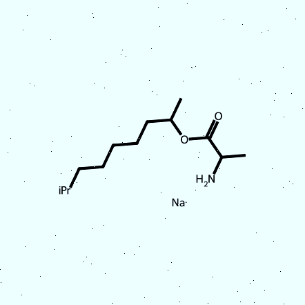 CC(C)CCCCCC(C)OC(=O)C(C)N.[Na]